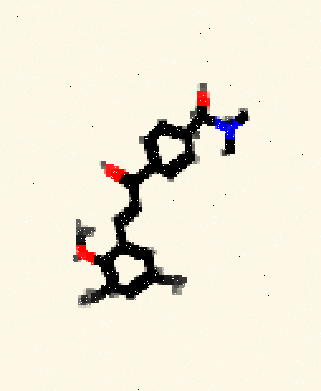 CCCOc1c(C=CC(=O)c2ccc(C(=O)N(C)C)cc2)cc(C(C)C)cc1C(C)C